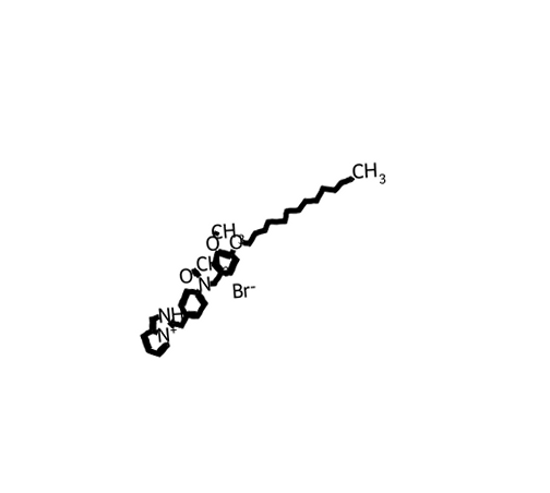 CCCCCCCCCCCCCCOc1ccc(CN(C(C)=O)c2ccc(Cc3[nH]cc4cccc[n+]34)cc2)cc1OC.[Br-]